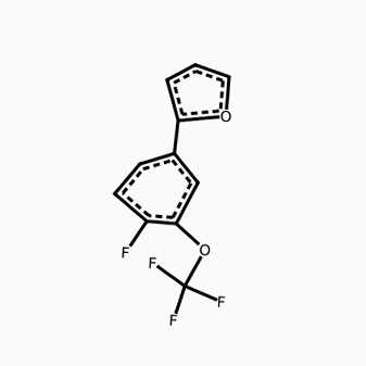 Fc1ccc(-c2ccco2)cc1OC(F)(F)F